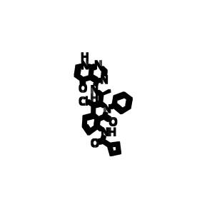 C[C@H](Nc1ncnc2[nH]ccc(=O)c12)c1c(Cl)c2cccc(NC(=O)C3CCC3)c2c(=O)n1-c1ccccc1